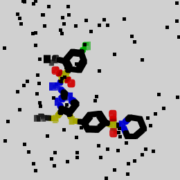 CCCSc1nc(NS(=O)(=O)c2ccc(Cl)cc2C)ncc1Sc1ccc(S(=O)(=O)N2CCCCC2)cc1